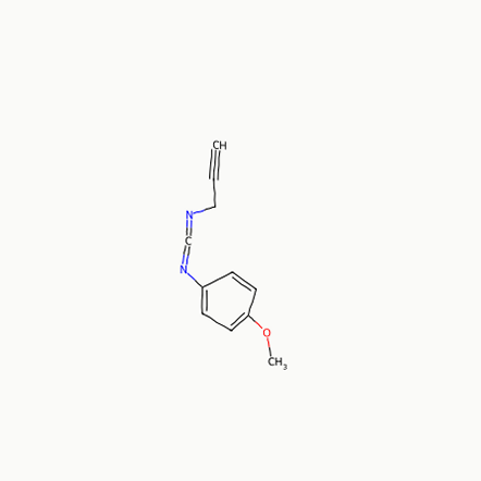 C#CCN=C=Nc1ccc(OC)cc1